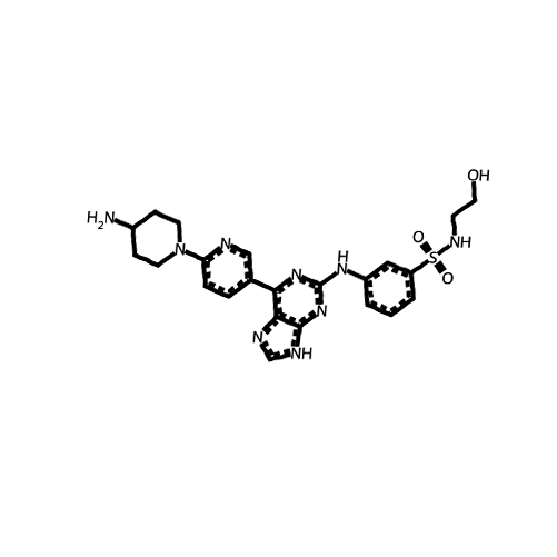 NC1CCN(c2ccc(-c3nc(Nc4cccc(S(=O)(=O)NCCO)c4)nc4[nH]cnc34)cn2)CC1